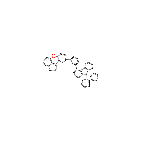 c1ccc(C2(c3ccccc3)c3ccccc3-c3c(-c4cccc(-c5ccc6c(c5)-c5cccc7cccc(c57)O6)c4)cccc32)cc1